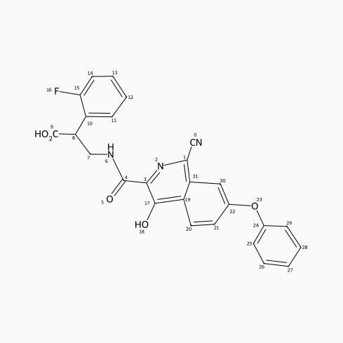 N#Cc1nc(C(=O)NCC(C(=O)O)c2ccccc2F)c(O)c2ccc(Oc3ccccc3)cc12